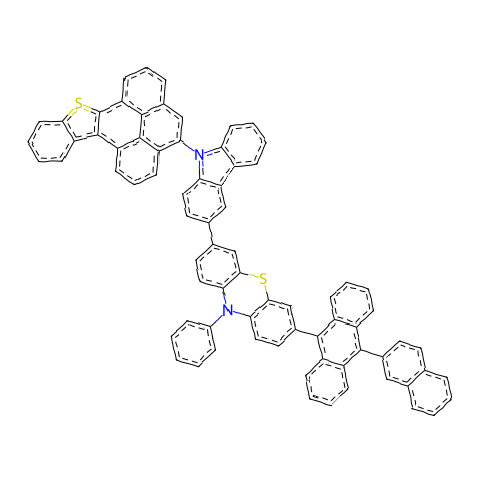 c1ccc(N2c3ccc(-c4ccc5c(c4)c4ccccc4n5-c4cc5cccc6c7sc8ccccc8c7c7cccc4c7c56)cc3Sc3cc(-c4c5ccccc5c(-c5ccc6ccccc6c5)c5ccccc45)ccc32)cc1